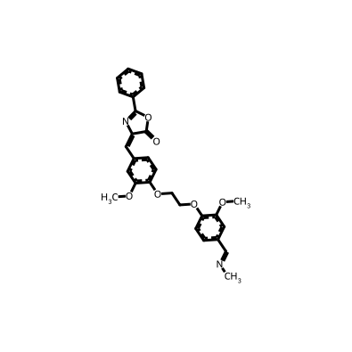 CN=Cc1ccc(OCCOc2ccc(C=C3N=C(c4ccccc4)OC3=O)cc2OC)c(OC)c1